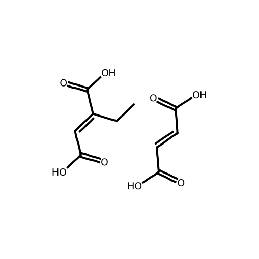 CC/C(=C\C(=O)O)C(=O)O.O=C(O)/C=C/C(=O)O